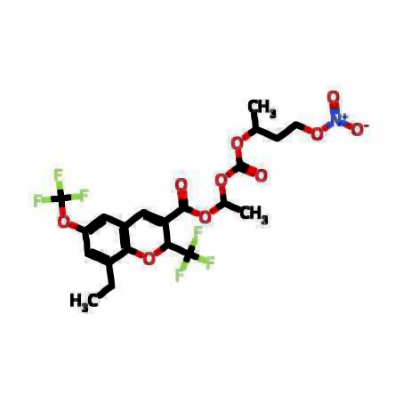 CCc1cc(OC(F)(F)F)cc2c1OC(C(F)(F)F)C(C(=O)OC(C)OC(=O)OC(C)CCO[N+](=O)[O-])=C2